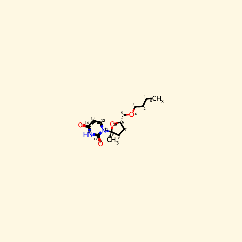 CCCCOC[C@@H]1CC[C@](C)(n2ccc(=O)[nH]c2=O)O1